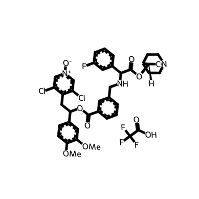 COc1ccc(C(Cc2c(Cl)c[n+]([O-])cc2Cl)OC(=O)c2cccc(CNC(C(=O)O[C@H]3CN4CCC3CC4)c3cccc(F)c3)c2)cc1OC.O=C(O)C(F)(F)F